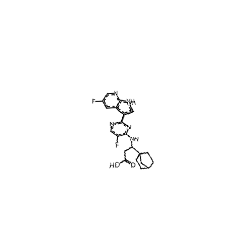 O=C(O)CC(Nc1nc(-c2c[nH]c3ncc(F)cc23)ncc1F)C12CCC(CC1)C2